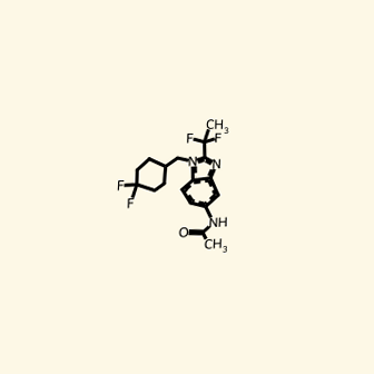 CC(=O)Nc1ccc2c(c1)nc(C(C)(F)F)n2CC1CCC(F)(F)CC1